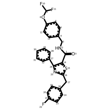 O=C(NCc1ccc(OC(F)F)cc1)c1sc(Cc2ccc(F)cc2)nc1-c1ccccc1